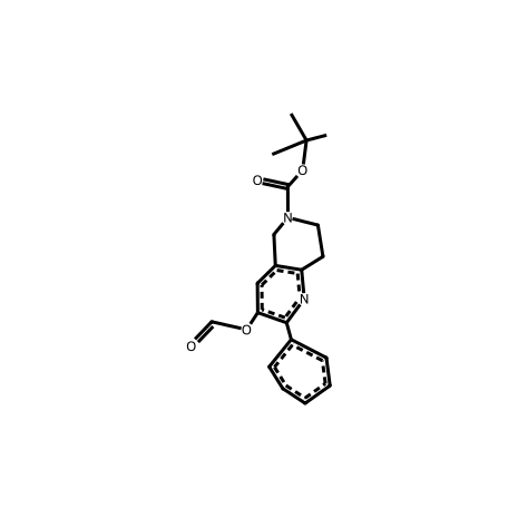 CC(C)(C)OC(=O)N1CCc2nc(-c3ccccc3)c(OC=O)cc2C1